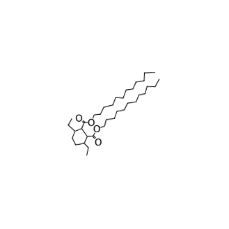 CCCCCCCCCCCCOC(=O)C1C(CC)CCC(CC)C1C(=O)OCCCCCCCCCCCC